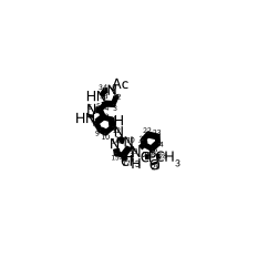 CC(=O)N1CC=C(c2n[nH]c3ccc(Nc4ncc(Cl)c(Nc5ccccc5P(C)(C)=O)n4)cc23)NC1